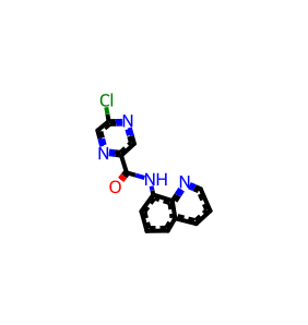 O=C(Nc1cccc2cccnc12)c1cnc(Cl)cn1